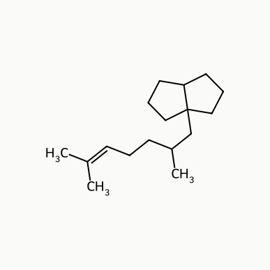 CC(C)=CCCC(C)CC12CCCC1CCC2